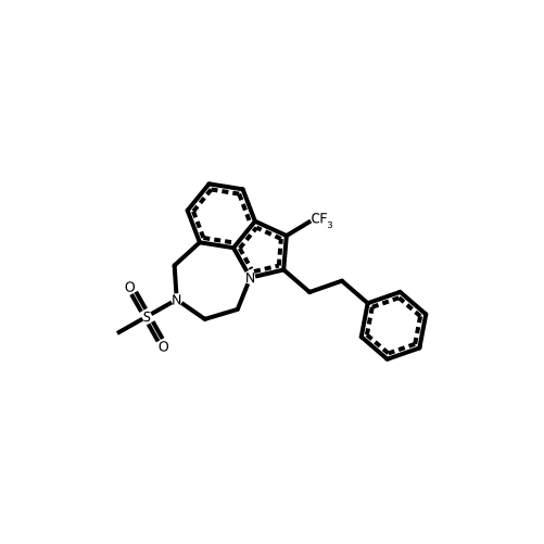 CS(=O)(=O)N1CCn2c(CCc3ccccc3)c(C(F)(F)F)c3cccc(c32)C1